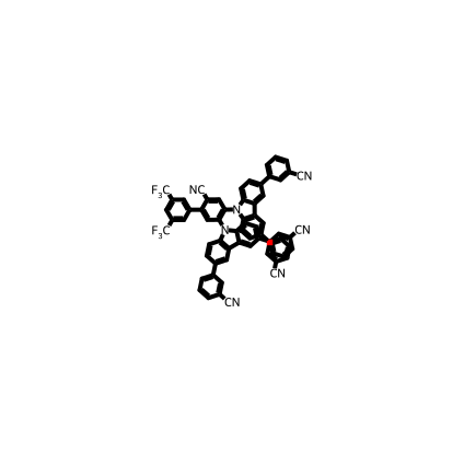 N#Cc1cccc(-c2ccc3c(c2)c2cc(-c4cccc(C#N)c4)ccc2n3-c2cc(C#N)c(-c3cc(C(F)(F)F)cc(C(F)(F)F)c3)cc2-n2c3ccc(-c4cccc(C#N)c4)cc3c3cc(-c4cccc(C#N)c4)ccc32)c1